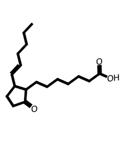 CCCC/C=C/C1CCC(=O)C1CCCCCCC(=O)O